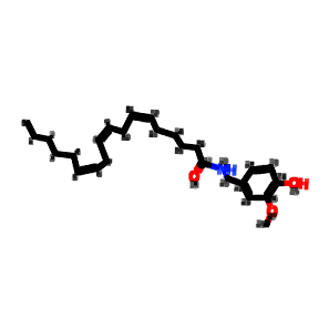 CCCCC/C=C\C/C=C\C/C=C\CCCCC(=O)NCc1ccc(O)c(OC)c1